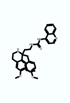 COc1ccc(CC2(CCNC(=O)Nc3ccnc4ccccc34)NCCc3cc(OC)c(OC)cc32)cc1